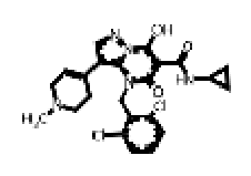 CN1CC=C(c2cnn3c(O)c(C(=O)NC4CC4)c(=O)n(Cc4c(Cl)cccc4Cl)c23)CC1